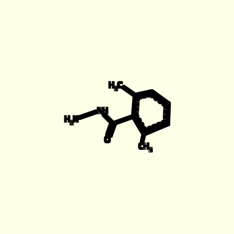 Cc1cccc(C)c1C(=O)NN